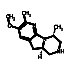 COc1cc2c(nc1C)N1[C@@H](CNC[C@H]1C)C2